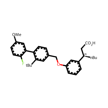 CCCC[C@H](CC(=O)O)c1cccc(OCc2ccc(-c3cc(OC)ccc3F)c(C(C)(C)C)c2)c1